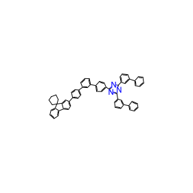 c1ccc(-c2cccc(-c3nc(-c4ccc(-c5cccc(-c6ccc(-c7ccc8c(c7)C7(CCCCC7)c7ccccc7-8)cc6)c5)cc4)nc(-c4cccc(-c5ccccc5)c4)n3)c2)cc1